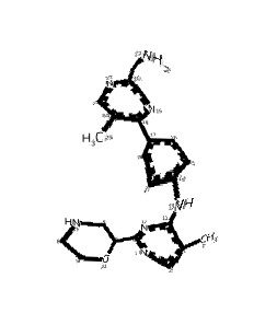 Cc1cnc(C2CNCCO2)nc1Nc1ccc(-c2nc(N)ncc2C)cc1